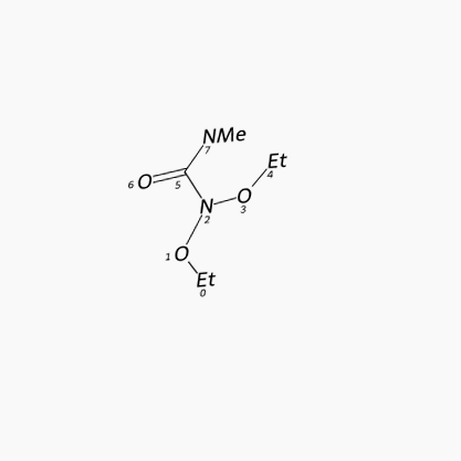 CCON(OCC)C(=O)NC